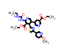 CCNC(=O)Nc1ncc(-c2cncc(C(=O)OCC)c2)c(-c2nc(-c3ccc(OC)nc3)cs2)c1C(=O)OCC